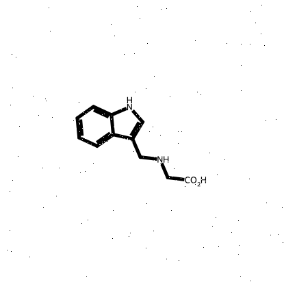 O=C(O)CNCc1c[nH]c2ccccc12